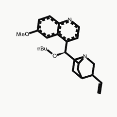 C=CC1CN2CCC1CC2[C@@H](OCCCC)c1ccnc2ccc(OC)cc12